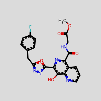 COC(=O)CNC(=O)c1nc(-c2nnc(Cc3ccc(F)cc3)o2)c(O)c2ncccc12